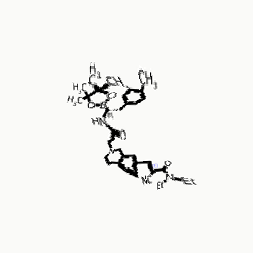 CCN(CC)C(=O)/C(C#N)=C/c1ccc2c(c1)CN(CC(=O)N[C@@H](Cc1ccc(C)cc1)B1OC(C)(C)C(C)(C)O1)CC2